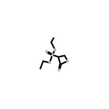 CCOP(=O)(OCC)C1COC1=O